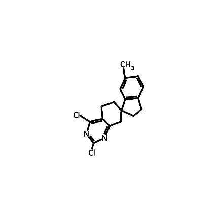 Cc1ccc2c(c1)C1(CC2)CCc2c(Cl)nc(Cl)nc2C1